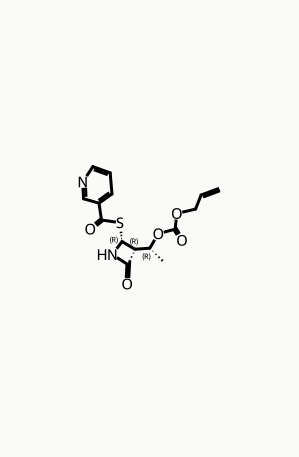 C=CCOC(=O)O[C@H](C)[C@@H]1C(=O)N[C@@H]1SC(=O)c1cccnc1